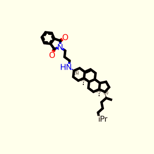 CC(C)CCCC(C)[C@H]1CCC2C3CC=C4C[C@@H](NCCCN5C(=O)c6ccccc6C5=O)CC[C@]4(C)C3CC[C@@]21C